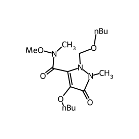 CCCCOCn1c(C(=O)N(C)OC)c(OCCCC)c(=O)n1C